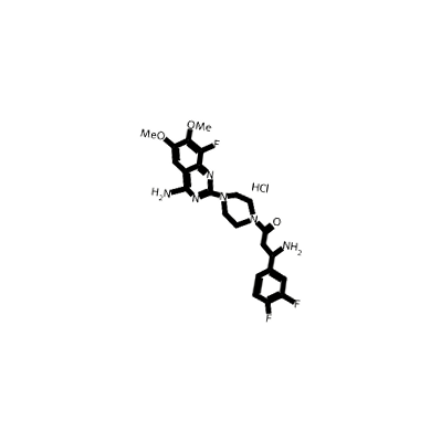 COc1cc2c(N)nc(N3CCN(C(=O)CC(N)c4ccc(F)c(F)c4)CC3)nc2c(F)c1OC.Cl